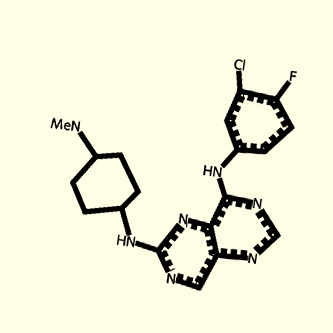 CNC1CCC(Nc2ncc3ncnc(Nc4ccc(F)c(Cl)c4)c3n2)CC1